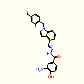 Nc1cc(C(=O)N/N=C/c2cccc3c2ccn3Cc2ccc(CF)cc2F)ccc1O